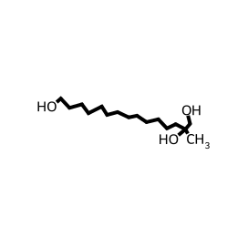 CC(O)(CO)CCCCCCCCCCCCCO